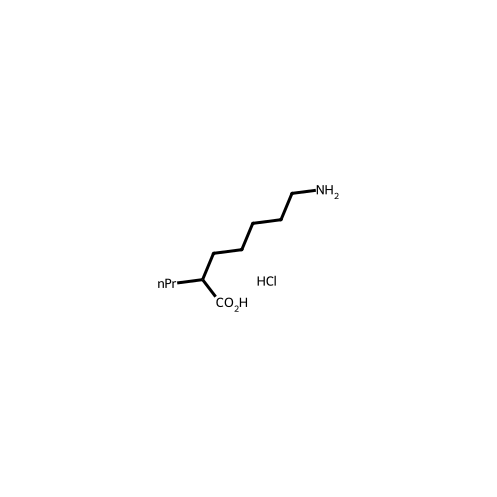 CCCC(CCCCCN)C(=O)O.Cl